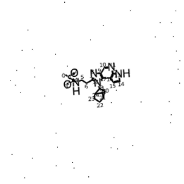 CS(=O)(=O)NCCc1nc2cnc3[nH]ccc3c2n1C1CC2CCC1C2